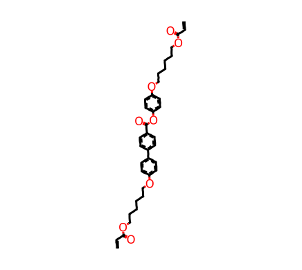 C=CC(=O)OCCCCCCOc1ccc(OC(=O)c2ccc(-c3ccc(OCCCCCCOC(=O)C=C)cc3)cc2)cc1